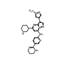 Cn1cc(-c2cnn3c(Nc4ccc(C5=NCCCN5)cn4)cc(C4CCCNC4)nc23)cn1